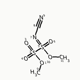 COS(=O)(=O)S(=O)(=NC#N)OC